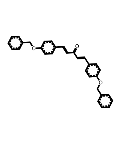 O=C(/C=C/c1ccc(OCc2ccccc2)cc1)/C=C/c1ccc(OCc2ccccc2)cc1